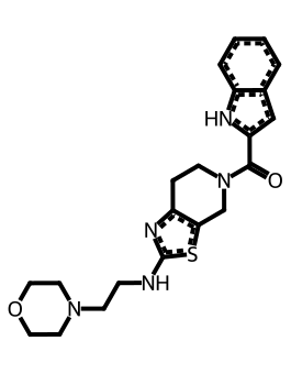 O=C(c1cc2ccccc2[nH]1)N1CCc2nc(NCCN3CCOCC3)sc2C1